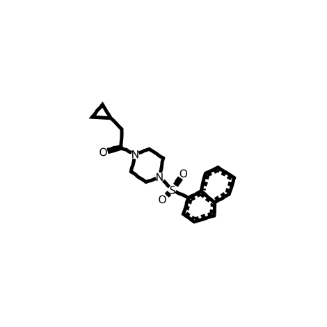 O=C(CC1CC1)N1CCN(S(=O)(=O)c2cccc3ccccc23)CC1